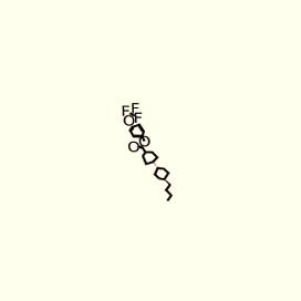 CCCC[C@H]1CC[C@H](C2CCC(C(=O)Oc3ccc(OC(F)(F)F)cc3)CC2)CC1